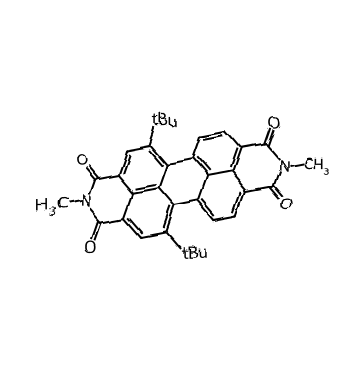 CN1C(=O)c2ccc3c4c(C(C)(C)C)cc5c6c(cc(C(C)(C)C)c(c7ccc(c2c37)C1=O)c64)C(=O)N(C)C5=O